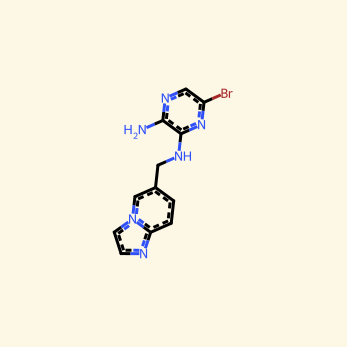 Nc1ncc(Br)nc1NCc1ccc2nccn2c1